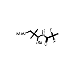 COCC(C)(C)C(NC(=O)C(C)(F)F)C(C)(C)C